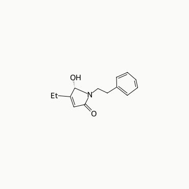 CCC1=CC(=O)N(CCc2ccccc2)[C@H]1O